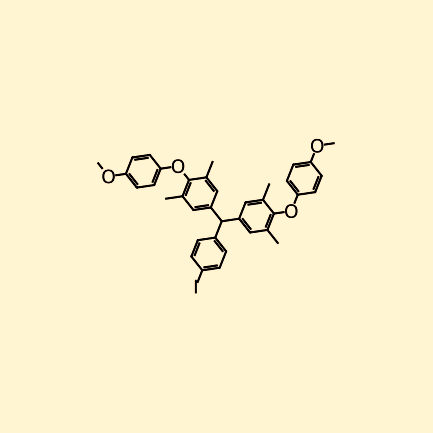 COc1ccc(Oc2c(C)cc(C(c3ccc(I)cc3)c3cc(C)c(Oc4ccc(OC)cc4)c(C)c3)cc2C)cc1